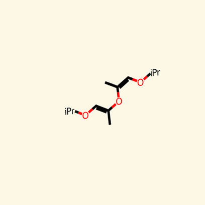 CC(=COC(C)C)OC(C)=COC(C)C